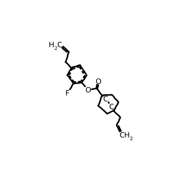 C=CCc1ccc(OC(=O)C23CCC(CC=C)(CC2)CC3)c(F)c1